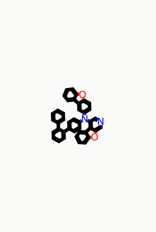 c1ccc(-c2ccccc2-c2ccc(N(c3ccc4oc5ccccc5c4c3)c3cncc4oc5ccccc5c34)cc2)cc1